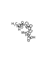 COc1nc(-c2cccc(-c3cccc(NC(=O)c4cc(C)n[nH]c4=O)c3C)c2Cl)ccc1CN[C@@H]1CCOC[C@@H]1O